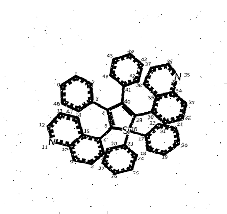 c1ccc(C2=C(c3cccc4ncccc34)[Si](c3ccccc3)(c3ccccc3)C(c3cccc4ncccc34)=C2c2ccccc2)cc1